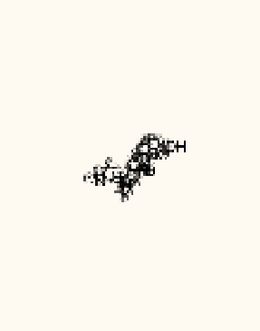 CC(C)c1oc(=O)oc1COC(=O)[C@@]1(C)C2CC[C@]3(C)[C@H](C(=O)C=C4[C@@H]5C[C@@](C)(C(=O)O)CC[C@]5(C)CC[C@]43C)[C@@]2(C)CC[C@@H]1n1cccn1